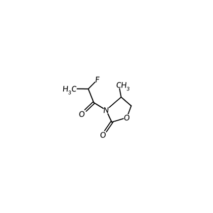 CC(F)C(=O)N1C(=O)OCC1C